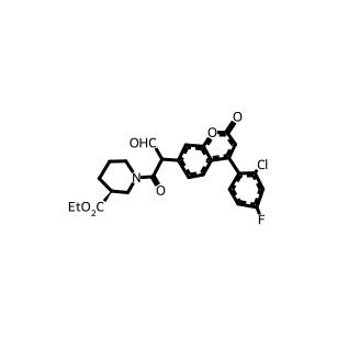 CCOC(=O)[C@H]1CCCN(C(=O)C(C=O)c2ccc3c(-c4ccc(F)cc4Cl)cc(=O)oc3c2)C1